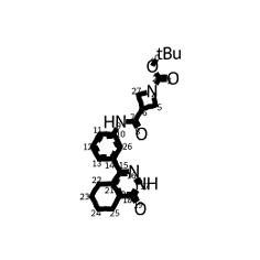 CC(C)(C)OC(=O)N1CC(C(=O)Nc2cccc(-c3n[nH]c(=O)c4c3CCCC4)c2)C1